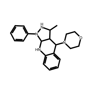 CC1NN(c2ccccc2)C2Nc3ccccc3C(N3CCOCC3)C12